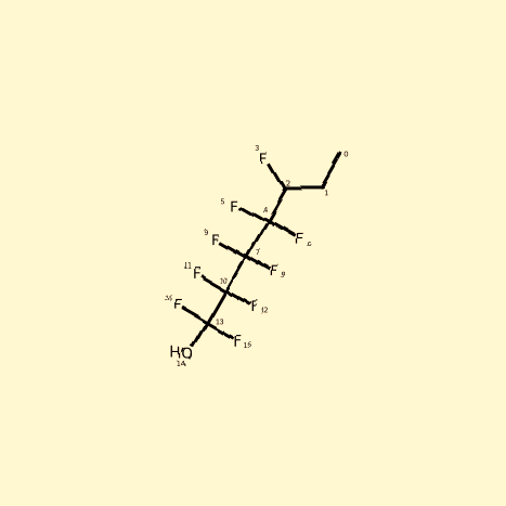 CCC(F)C(F)(F)C(F)(F)C(F)(F)C(O)(F)F